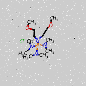 COCCN(CCOC)[P+](N(C)C)(N(C)C)N(C)C.[Cl-]